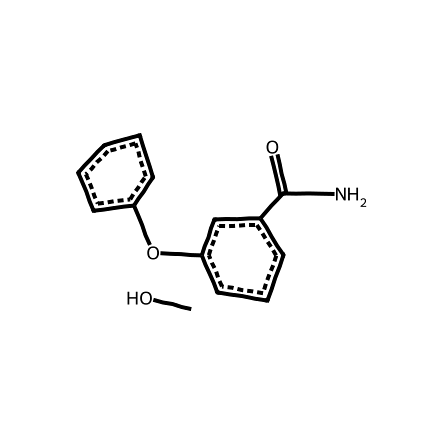 CO.NC(=O)c1cccc(Oc2ccccc2)c1